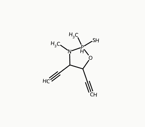 C#CC1O[PH](C)(S)N(C)C1C#C